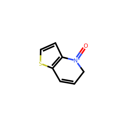 O=[N+]1CC=Cc2sccc21